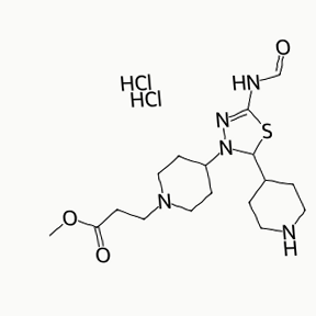 COC(=O)CCN1CCC(N2N=C(NC=O)SC2C2CCNCC2)CC1.Cl.Cl